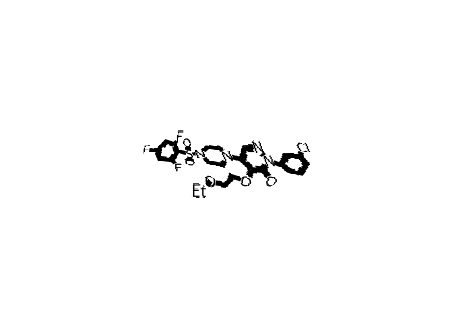 CCOCCOc1c(N2CCN(S(=O)(=O)c3c(F)cc(F)cc3F)CC2)cnn(-c2cccc(Cl)c2)c1=O